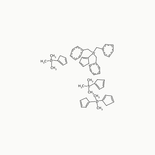 C1=CC[C]([Zr]([CH2]c2ccccc2)([CH2]c2ccccc2)[CH2]c2ccccc2)=C1.[CH3][Ti]([CH3])([CH3])[C]1=CC=CC1.[CH3][Zr]([CH3])([CH3])[C]1=CC=CC1.[CH3][Zr]([CH3])([C]1=CC=CC1)[C]1=CC=CC1